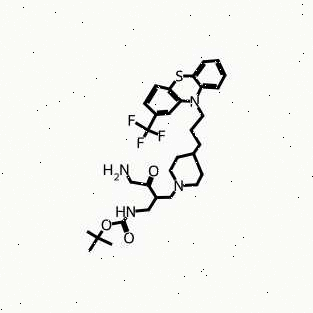 CC(C)(C)OC(=O)NCC(CN1CCC(CCCN2c3ccccc3Sc3ccc(C(F)(F)F)cc32)CC1)C(=O)CN